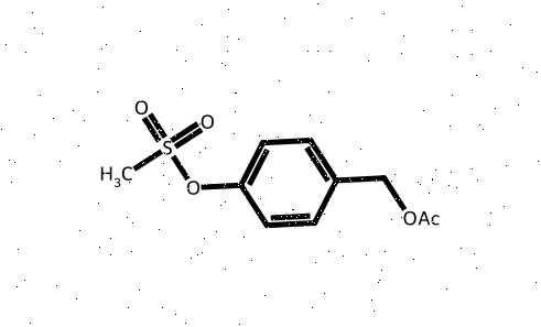 CC(=O)OCc1ccc(OS(C)(=O)=O)cc1